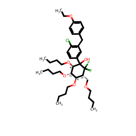 CCCCOC[C@@H]1[C@@H](OCCCC)[C@H](OCCCC)[C@@H](OCCCC)C(O)(c2ccc(Cl)c(Cc3ccc(OCC)cc3)c2)C1(F)F